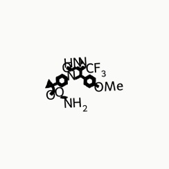 COc1ccc(C2CN(c3ccc(C4(C(=O)OCCN)CC4)cc3)C(=O)c3[nH]nc(C(F)(F)F)c32)cc1